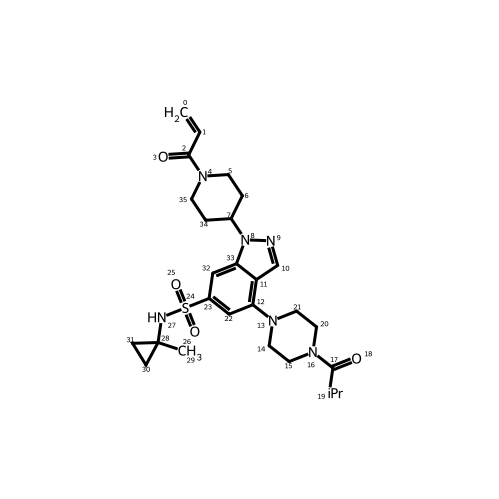 C=CC(=O)N1CCC(n2ncc3c(N4CCN(C(=O)C(C)C)CC4)cc(S(=O)(=O)NC4(C)CC4)cc32)CC1